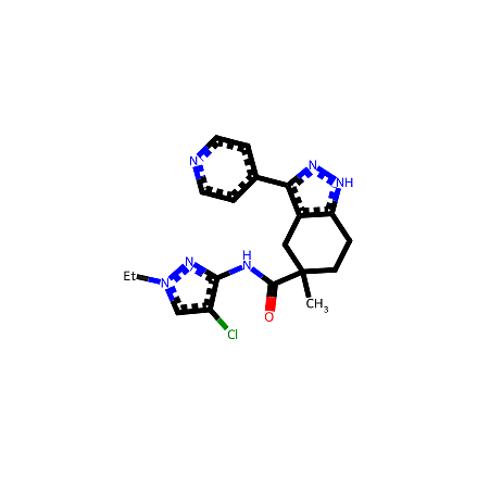 CCn1cc(Cl)c(NC(=O)C2(C)CCc3[nH]nc(-c4ccncc4)c3C2)n1